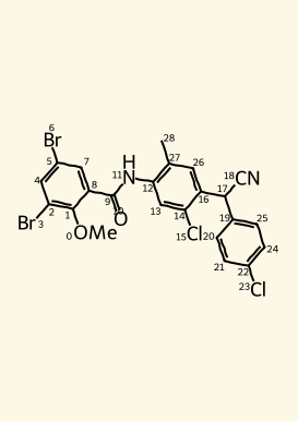 COc1c(Br)cc(Br)cc1C(=O)Nc1cc(Cl)c(C(C#N)c2ccc(Cl)cc2)cc1C